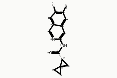 O=C(Nc1cc2cc(Br)c(Cl)cc2cn1)[C@@H]1CC12CC2